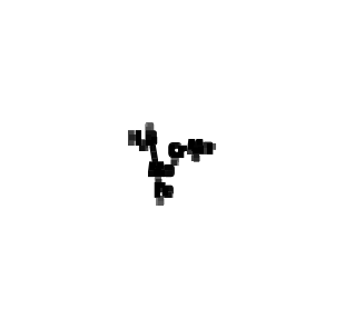 [BH2][Mo].[Cr].[Fe].[Mn]